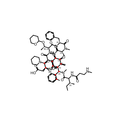 CC[C@H](C)C(NC(=O)CCNC)C(=O)N(C)[C@@H](CC(C)C)C(=O)N(C)[C@@H](C)C(=O)N(C)C(CC(C)C)C(=O)N[C@H](C(=O)N(C)[C@@H](Cc1ccccc1)C(=O)N(C)[C@@H](C)C(=O)N(C)C(CC(C)C)C(=O)N(C)[C@@H](Cc1ccccc1)C(=O)NC(CC(=O)O)C(=O)N1CCCCC1)[C@@H](C)OC1CCCCO1